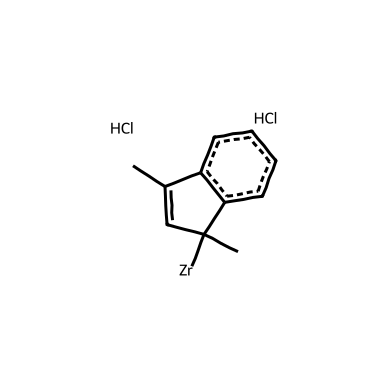 CC1=C[C](C)([Zr])c2ccccc21.Cl.Cl